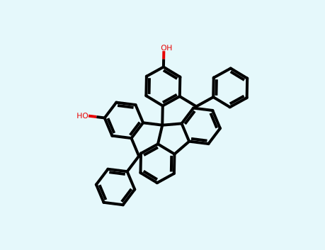 Oc1ccc(C2(c3ccc(O)cc3Cc3ccccc3)c3ccccc3-c3ccccc32)c(Cc2ccccc2)c1